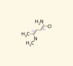 C=N/C(C)=C\C=C(/N)Cl